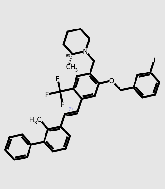 Cc1c(/C=C/c2cc(OCc3cccc(I)c3)c(CN3CCCC[C@H]3C)cc2C(F)(F)F)cccc1-c1ccccc1